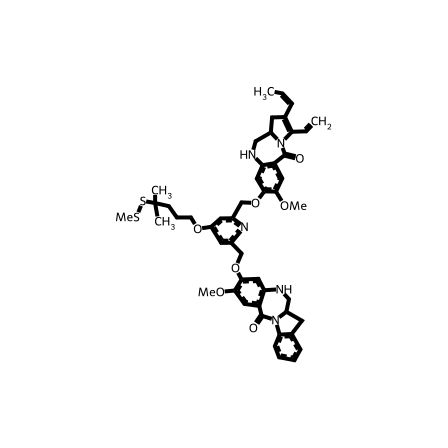 C=CC1=C(/C=C\C)CC2CNc3cc(OCc4cc(OCCCC(C)(C)SSC)cc(COc5cc6c(cc5OC)C(=O)N5c7ccccc7CC5CN6)n4)c(OC)cc3C(=O)N12